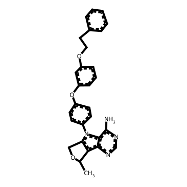 CC1OCc2c1c1ncnc(N)c1n2-c1ccc(Oc2cccc(OCCc3ccccc3)c2)cc1